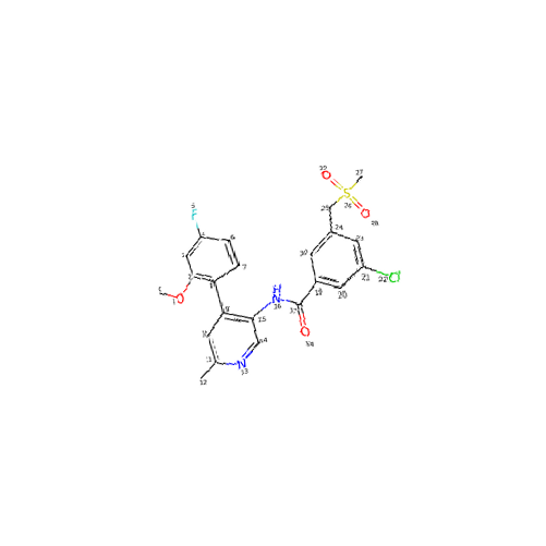 COc1cc(F)ccc1-c1cc(C)ncc1NC(=O)c1cc(Cl)cc(CS(C)(=O)=O)c1